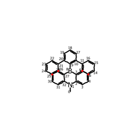 CN1c2ccccc2B(c2c(-c3ccccc3)cccc2-c2ccccc2)c2ccccc21